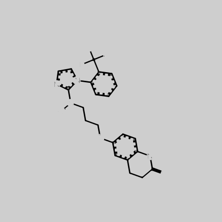 O=C1CCc2cc(OCCC[S+]([O-])c3nccn3-c3ccccc3C(F)(F)F)ccc2N1